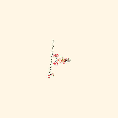 CCCCCCCCCCCCCCCCCC(=O)[O-].O=S(=O)(O)O.OCC(O)CO.[Na+]